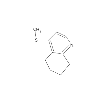 CSc1ccnc2c1CCCC2